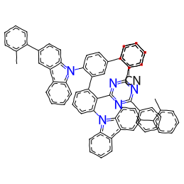 Cc1ccccc1-c1ccc2c(c1)c1ccccc1n2-c1ccc(-c2ccccc2C#N)cc1-c1cccc(-n2c3ccccc3c3cc(-c4ccccc4C)ccc32)c1-c1nc(-c2ccccc2)nc(-c2ccccc2)n1